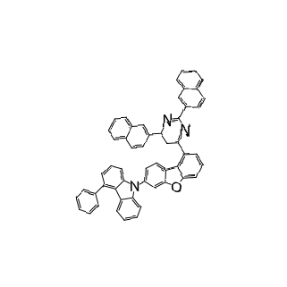 c1ccc(-c2cccc3c2c2ccccc2n3-c2ccc3c(c2)oc2cccc(C4=NC(c5ccc6ccccc6c5)=NC(c5ccc6ccccc6c5)C4)c23)cc1